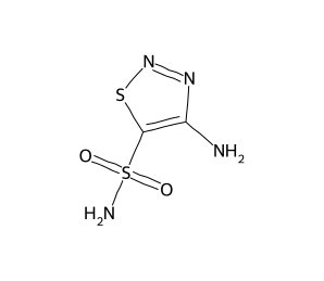 Nc1nnsc1S(N)(=O)=O